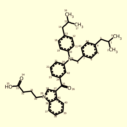 CC(C)Cc1ccc(CN(c2ccc(CC(C)C)cc2)c2cccc(C(=O)c3cn(CCCC(=O)O)c4ccccc34)c2)cc1